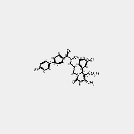 CCc1ccc(-c2ccc(C(=O)N(C)CCCN3C(=O)NC(C)=C(C(=O)O)C3c3cccc(Cl)c3)cc2)cc1